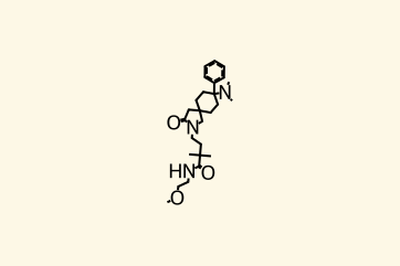 COCCNC(=O)C(C)(C)CCN1CC2(CCC(c3ccccc3)(N(C)C)CC2)CC1=O